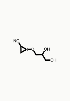 N#CC1CN1OCC(O)CO